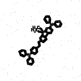 CCC1(CC)c2cc(/C=C/c3ccc(N(c4ccccc4)c4ccccc4)cc3)ccc2-c2ccc(N(c3ccccc3)c3ccccc3)cc21